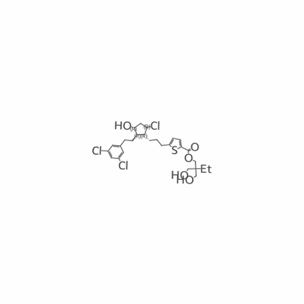 CCC(CO)(CO)COC(=O)c1ccc(CCC[C@@H]2[C@@H](CCc3cc(Cl)cc(Cl)c3)[C@H](O)C[C@H]2Cl)s1